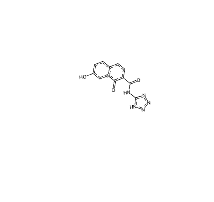 O=C(Nc1nnn[nH]1)c1ccc2ccc(O)cn2c1=O